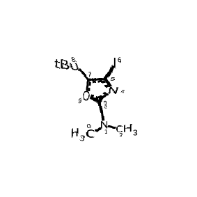 CN(C)c1nc(I)c(C(C)(C)C)o1